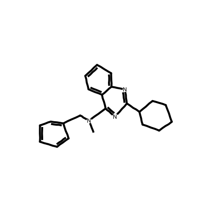 CN(Cc1ccccc1)c1nc(C2CCCCC2)nc2ccccc12